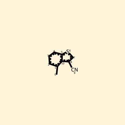 Cc1cccc2scc(C#N)c12